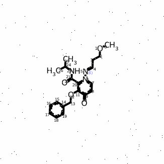 COCC/C=N/n1ccc(=O)c(OCc2ccccc2)c1C(=O)NC(C)C